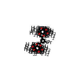 BC(B)(B)C1(C(B)(B)B)c2ccc(-c3cc(-c4ccc5c(c4)C(C(B)(B)B)(C(B)(B)B)C(B)(B)C(B)(B)C5(C(B)(B)B)C(B)(B)B)cc(C(C)C)c3)cc2C(C(B)(B)B)(C(B)(B)B)C(B)(B)C1(B)B